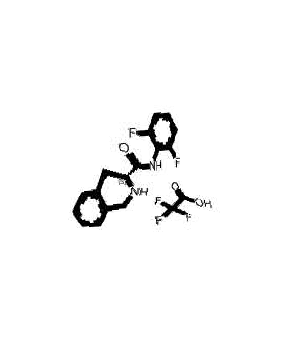 O=C(Nc1c(F)cccc1F)[C@@H]1Cc2ccccc2CN1.O=C(O)C(F)(F)F